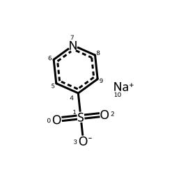 O=S(=O)([O-])c1ccncc1.[Na+]